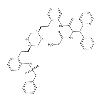 COC(=O)NC(C(=O)Nc1ccccc1CC[C@@H]1CN[C@H](CCc2ccccc2NS(=O)(=O)Cc2ccccc2)CO1)C(c1ccccc1)c1ccccc1